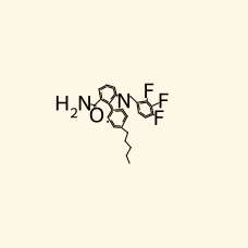 CCCCCc1c[c]c2c3c(C(N)=O)cccc3n(Cc3ccc(F)c(F)c3F)c2c1